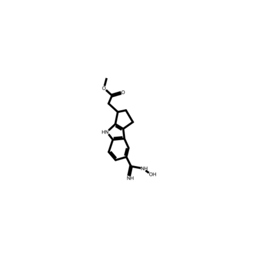 COC(=O)CC1CCc2c1[nH]c1ccc(C(=N)NO)cc21